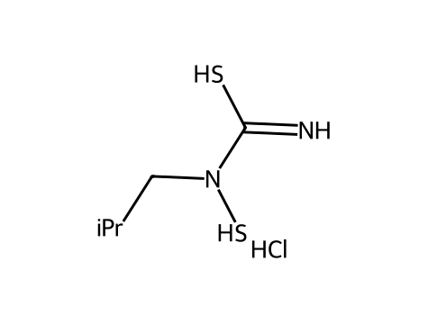 CC(C)CN(S)C(=N)S.Cl